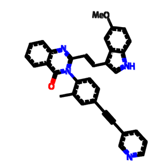 COc1ccc2[nH]cc(C=Cc3nc4ccccc4c(=O)n3-c3ccc(C#Cc4cccnc4)cc3C)c2c1